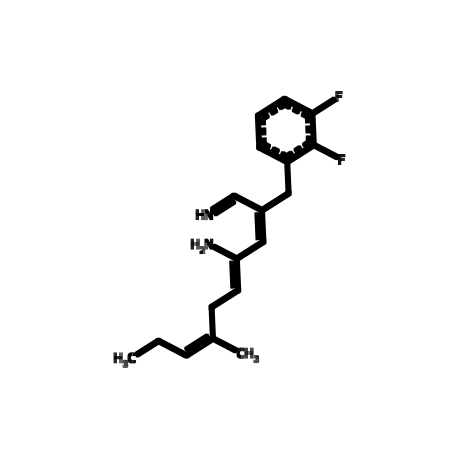 CC/C=C(/C)C/C=C(N)/C=C(\C=N)Cc1cccc(F)c1F